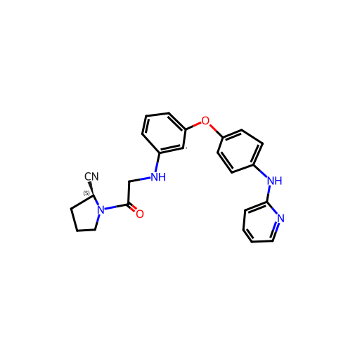 N#C[C@@H]1CCCN1C(=O)CNc1[c]c(Oc2ccc(Nc3ccccn3)cc2)ccc1